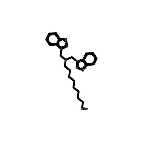 CCCCCCCCCCCCCCCCCCN(Cn1nnc2ccccc21)Cn1nnc2ccccc21